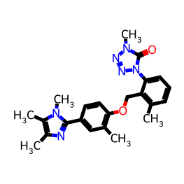 Cc1cc(-c2nc(C)c(C)n2C)ccc1OCc1c(C)cccc1-n1nnn(C)c1=O